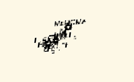 CCOC(=O)C1=C(C)NC(C)=C(C(=O)OCC)C1c1cccc(Nc2nc(-c3ccc(OC)c(OC)c3)c(C)s2)c1